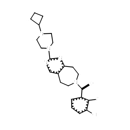 Cc1cccc(C(=O)N2CCc3cnc(N4CCN(C5CCC5)CC4)nc3CC2)c1F